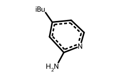 CCC(C)c1ccnc(N)c1